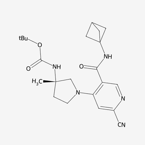 CC(C)(C)OC(=O)N[C@@]1(C)CCN(c2cc(C#N)ncc2C(=O)NC23CC(C2)C3)C1